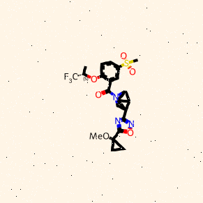 COC1(c2nc(C34CN(C(=O)c5cc(S(C)(=O)=O)ccc5O[C@@H](C)C(F)(F)F)C5C3C54)no2)CC1